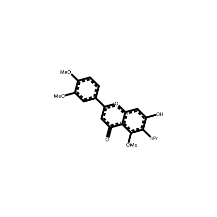 CCCc1c(O)cc2oc(-c3ccc(OC)c(OC)c3)cc(=O)c2c1OC